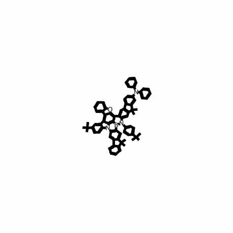 CC(C)(C)c1ccc(N2B3c4cc5c(cc4-n4c6ccc(C(C)(C)C)cc6c6c7c(oc8ccccc87)c(c3c64)-c3cc4c(cc32)C(C)(C)c2cc(N(c3ccccc3)c3ccccc3)ccc2-4)-c2ccccc2C5(C)C)cc1